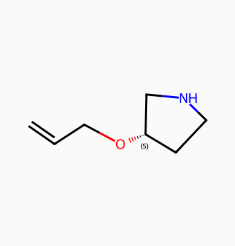 C=CCO[C@H]1CCNC1